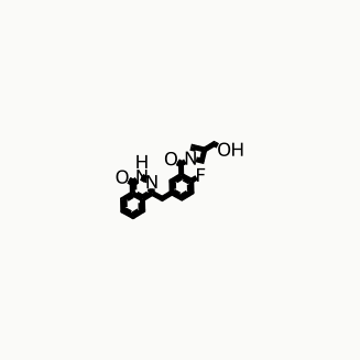 O=C(c1cc(Cc2n[nH]c(=O)c3ccccc23)ccc1F)N1CC(CO)C1